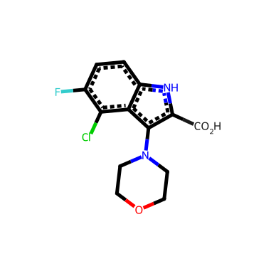 O=C(O)c1[nH]c2ccc(F)c(Cl)c2c1N1CCOCC1